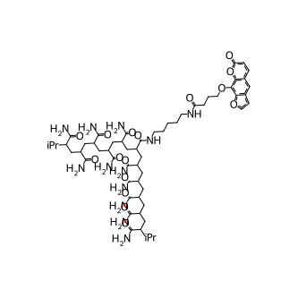 CC(C)C(CC(CC(CC(CC(CC(CC(CC(CC(CC(CC(C(N)=O)C(C)C)C(N)=O)C(N)=O)C(N)=O)C(N)=O)C(=O)NCCCCCNC(=O)CCCOc1c2occc2cc2ccc(=O)oc12)C(N)=O)C(N)=O)C(N)=O)C(N)=O)C(N)=O